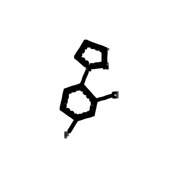 Fc1ccc(-n2cc[c]n2)c(Cl)c1